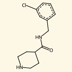 O=C(NCc1cccc(Cl)c1)C1CCNCC1